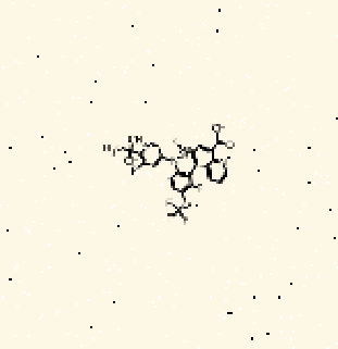 CC(C)(C)c1ccc(N(c2ccc(OC(F)(F)F)c(F)c2-c2ccc(C(=O)O)c3ncccc23)[SH](=O)=O)cc1F